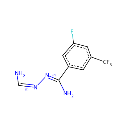 N/C=N\N=C(/N)c1cc(F)cc(C(F)(F)F)c1